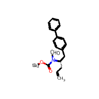 C=CC[C@@H](Cc1ccc(-c2ccccc2)cc1)N(C=O)C(=O)OC(C)(C)C